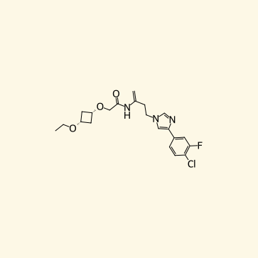 C=C(CCn1cnc(-c2ccc(Cl)c(F)c2)c1)NC(=O)CO[C@H]1C[C@@H](OCC)C1